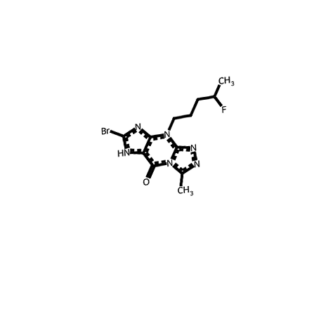 Cc1nnc2n(CCCC(C)F)c3nc(Br)[nH]c3c(=O)n12